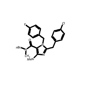 CCCCN(C)C(=O)c1c(NC)nc(Cc2ccc(Cl)cc2)n1Cc1ccc(F)cc1